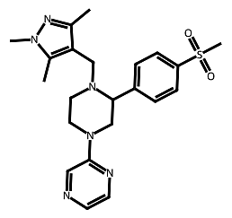 Cc1nn(C)c(C)c1CN1CCN(c2cnccn2)CC1c1ccc(S(C)(=O)=O)cc1